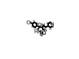 O=S1(=O)NC[C@@](O)(c2ccc(Cl)cc2)c2cc(-c3ccncc3)sc21